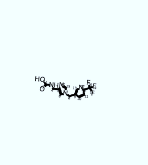 O=C(O)NCc1cn(Cc2ccc(C(F)(F)F)nc2)cn1